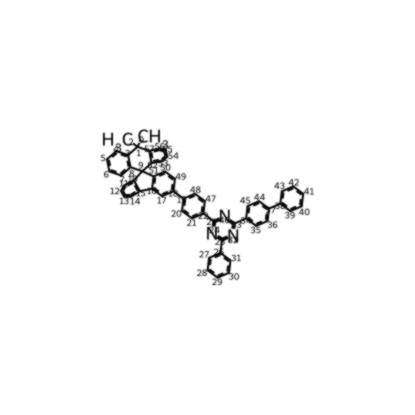 CC1(C)c2ccccc2C2(c3ccccc3-c3cc(-c4ccc(-c5nc(-c6ccccc6)nc(-c6ccc(-c7ccccc7)cc6)n5)cc4)ccc32)c2ccccc21